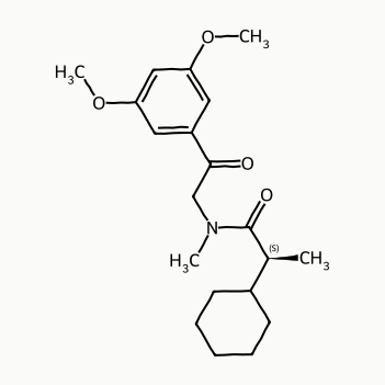 COc1cc(OC)cc(C(=O)CN(C)C(=O)[C@@H](C)C2CCCCC2)c1